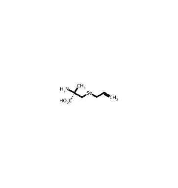 C=CC[Se]C[C@](C)(N)C(=O)O